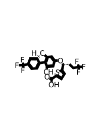 Cc1cc(O[C@H](CCC(F)(F)F)c2ccc(C(=O)O)s2)cc(C)c1-c1ccc(C(F)(F)F)cc1